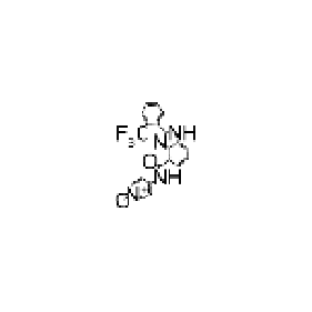 O=C(Nc1cc[n+]([O-])cc1)c1cccc2[nH]c(-c3ccccc3C(F)(F)F)nc12